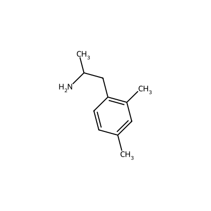 Cc1ccc(CC(C)N)c(C)c1